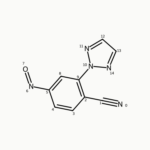 N#Cc1ccc(N=O)cc1-n1nccn1